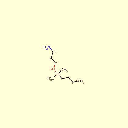 CCCC[Si](C)(C)OCCCN